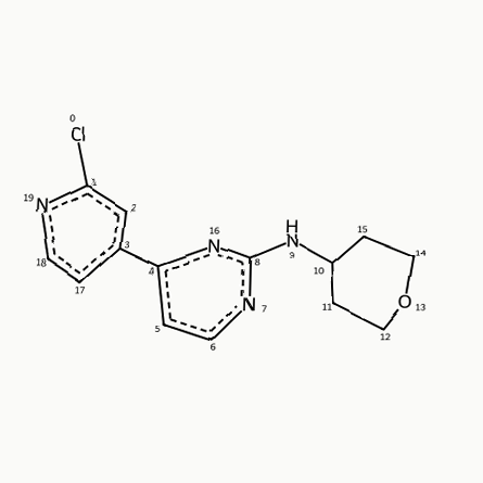 Clc1cc(-c2ccnc(NC3CCOCC3)n2)ccn1